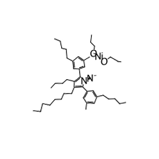 CCCCCCCCC1=C(c2cc(C)cc(CCCCC)c2)[N+](=[N-])C(c2cc(C)cc(CCCCC)c2)=C1CCCC.CCC[O][Ni][O]CCC